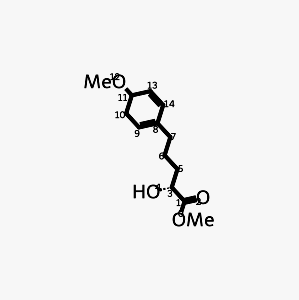 COC(=O)[C@H](O)CCCC1=CCC(OC)C=C1